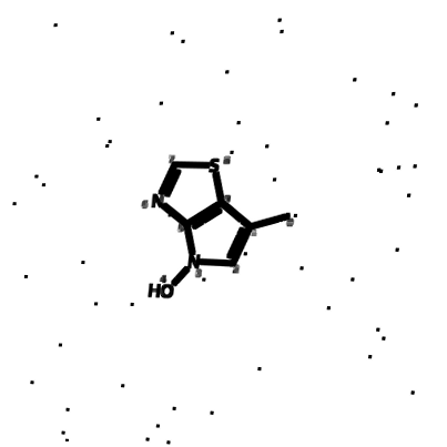 Cc1cn(O)c2ncsc12